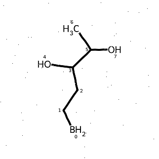 BCCC(O)C(C)O